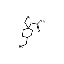 CC(C)CC1(OC(N)=O)CCC(CO)CC1